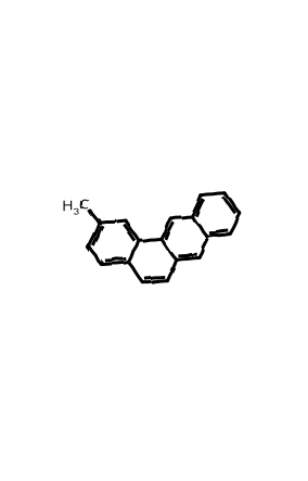 Cc1ccc2ccc3cc4ccccc4cc3c2c1